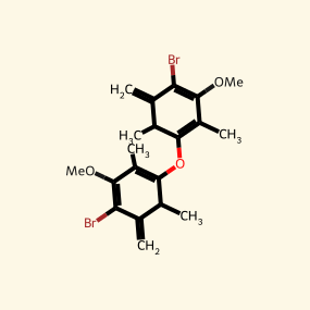 C=C1C(Br)=C(OC)C(C)=C(OC2=C(C)C(OC)=C(Br)C(=C)C2C)C1C